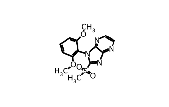 COc1cccc(OC)c1-n1c(S(C)(=O)=O)nc2nccnc21